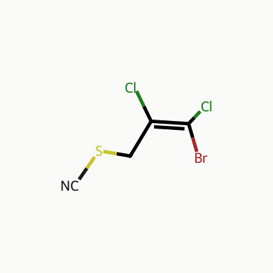 N#CSCC(Cl)=C(Cl)Br